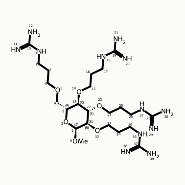 CO[C@H]1O[C@H](COCCCNC(=N)N)[C@@H](OCCCNC(=N)N)[C@H](OCCCNC(=N)N)[C@H]1OCCCNC(=N)N